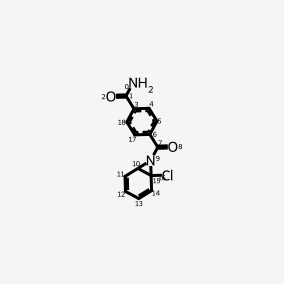 NC(=O)c1ccc(C(=O)N2C3C=CC=CC32Cl)cc1